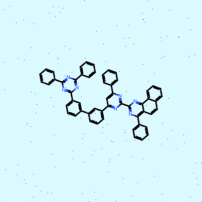 c1ccc(-c2cc(-c3cccc(-c4cccc(-c5nc(-c6ccccc6)nc(-c6ccccc6)n5)c4)c3)nc(-c3nc(-c4ccccc4)c4ccc5ccccc5c4n3)n2)cc1